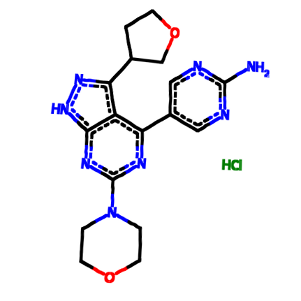 Cl.Nc1ncc(-c2nc(N3CCOCC3)nc3[nH]nc(C4CCOC4)c23)cn1